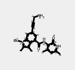 CCC(C)n1c(C)c(C)c2c(C(=O)Nc3c(C)cc(C)[nH]c3=O)cc(C#CCN)cc21